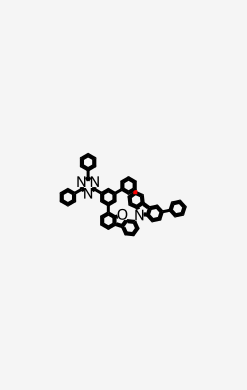 c1ccc(-c2cc(-c3nc(-c4ccccc4)nc(-c4ccccc4)n3)cc(-c3cccc4c3oc3c(-n5c6ccccc6c6cc(-c7ccccc7)ccc65)cccc34)c2)cc1